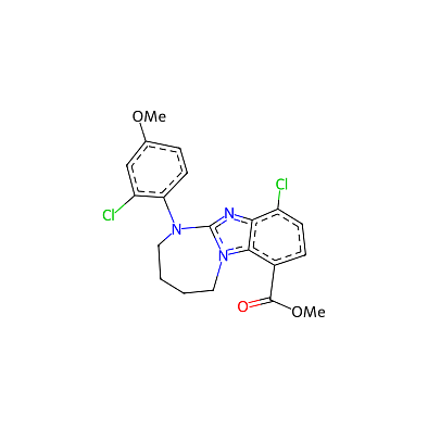 COC(=O)c1ccc(Cl)c2nc3n(c12)CCCCN3c1ccc(OC)cc1Cl